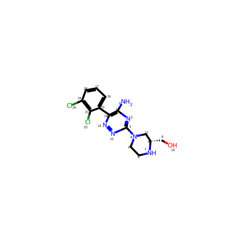 Nc1nc(N2CCN[C@@H](CO)C2)nnc1-c1cccc(Cl)c1Cl